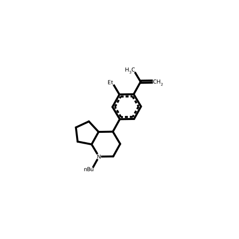 C=C(C)c1ccc(C2CCN(CCCC)C3CCCC23)cc1CC